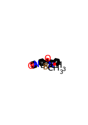 CCC(Cc1ccccc1)(C(=O)c1ccc(N2CCOCC2)cc1Br)N(C)C